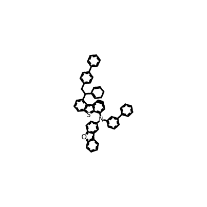 c1cc(N(c2cccc(-c3ccccc3)c2)c2ccc3oc4ccccc4c3c2)c2sc3cccc(C(Cc4ccc(-c5ccccc5)cc4)C4=CCCC=C4)c3c2c#1